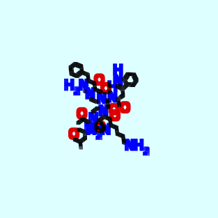 CC(=O)C(N[C@H](C=O)CC(C)C)N1CCN(C(=O)C(N[C@H](C=O)Cc2c[nH]c3ccccc23)N2CCN(C)C(C(=O)[C@@H](N)Cc3ccccc3)C2=O)C(C(=O)[C@@H](N)CCCCN)C1=O